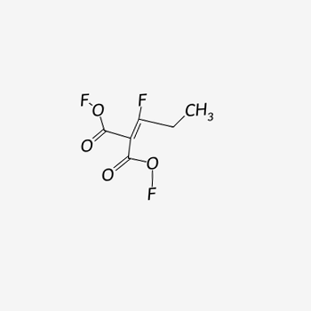 CCC(F)=C(C(=O)OF)C(=O)OF